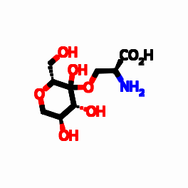 N[C@@H](COC1(O)[C@H](O)[C@@H](O)CO[C@@H]1CO)C(=O)O